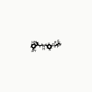 CC(C)c1ccc2[nH]cc(CCNCc3cccc(OCC(F)(F)C(F)F)c3)c2c1